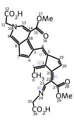 C/C=C1/C(=C\c2ccc3cn(CC(=O)O)cc(C(=O)OC)c2-3)C=C/C1=C(/C=N/CC(=O)O)C(=O)OC